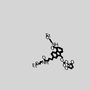 CCOCCNC(=O)CCCc1ccc2c(c1)C(COC(=O)ON1C(=O)CCC1=O)c1cccc(C(=O)NCCOCC)c1-2